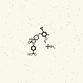 CC(C)(C)N.CCOc1cc(CN2CCC3(CC2)CN(c2ccc(C(=O)O)cc2)C(=O)N3)c(C2CC2)cc1C